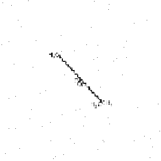 CCCCCCCCCCCCCCCCC(CCCCCCCCCCCCCC(C)C)C(=O)O